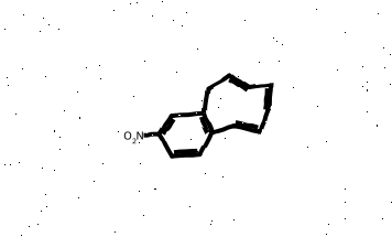 O=[N+]([O-])c1ccc2c(c1)C/C=C/C=C\C=C\2